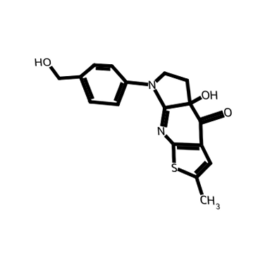 Cc1cc2c(s1)N=C1N(c3ccc(CO)cc3)CCC1(O)C2=O